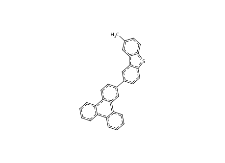 Cc1ccc2sc3ccc(-c4ccc5c6ccccc6c6ccccc6c5c4)cc3c2c1